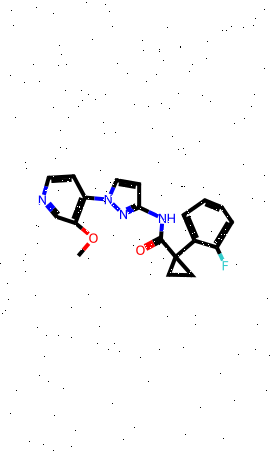 COc1cnccc1-n1ccc(NC(=O)C2(c3ccccc3F)CC2)n1